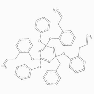 C=CCc1ccccc1OP1(Cc2ccccc2)=NP(Oc2ccccc2)(Oc2ccccc2CC=C)=NP(Oc2ccccc2)(Oc2ccccc2CC=C)=N1